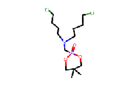 CC1(C)COP(=O)(CN(CCCCCl)CCCCCl)OC1